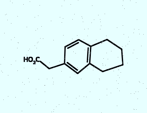 O=C(O)Cc1ccc2c(c1)CCCC2